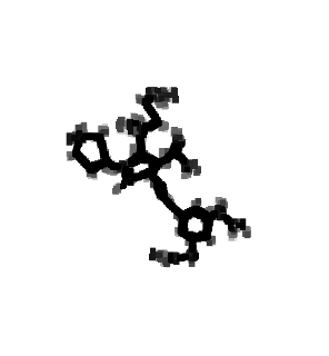 COc1cc(C#Cc2nn(C3CCNC3)c(NCCO)c2C(N)=O)cc(OC)c1